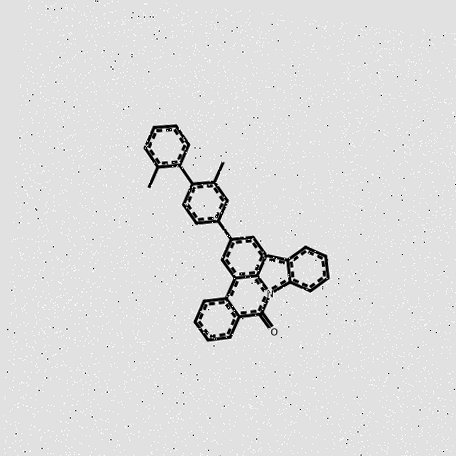 Cc1ccccc1-c1ccc(-c2cc3c4ccccc4c(=O)n4c5ccccc5c(c2)c34)cc1C